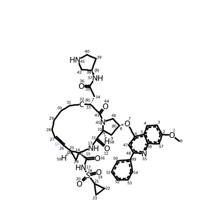 COc1ccc2c(O[C@@H]3C[C@H]4C(=O)N[C@]5(C(=O)NS(=O)(=O)C6CC6)C[C@H]5/C=C\CCCCC[C@H](CC(=O)N[C@@H]5CCNC5)C(=O)N4C3)cc(-c3ccccc3)nc2c1